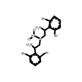 CC(C)c1cccc(C(C)C)c1C(N)C[N](CC(N)c1c(C(C)C)cccc1C(C)C)[Pd]([Cl])[Cl]